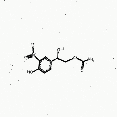 NC(=O)OC[C@H](O)c1ccc(O)c([N+](=O)[O-])c1